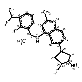 Cc1nc(N[C@H](C)c2cccc(C(F)F)c2F)c2cc(N3C[C@@H](N)[C@@H](F)C3)ncc2n1